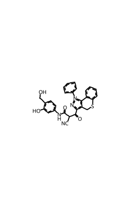 N#CC(C(=O)Nc1ccc(CO)c(O)c1)C(=O)c1nn(-c2ccccc2)c2c1CSc1ccccc1-2